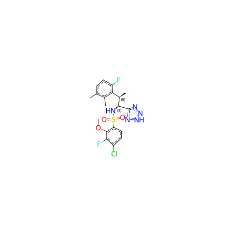 COc1c(S(=O)(=O)N[C@H](c2nn[nH]n2)[C@H](C)c2c(F)ccc(C)c2C)ccc(Cl)c1F